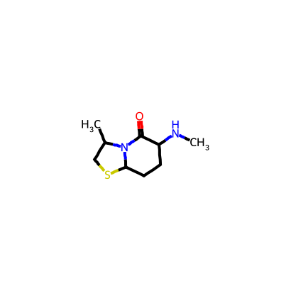 CNC1CCC2SCC(C)N2C1=O